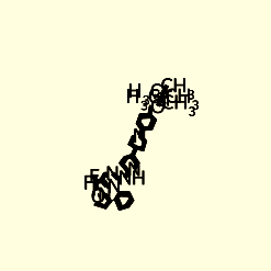 CC(C)(C)[Si](C)(C)OCc1ccc(N2CCC(c3ccc(Nc4ncc(C(F)(F)F)c(N5OCC[C@H]5c5ccccc5)n4)nc3)CC2)cc1